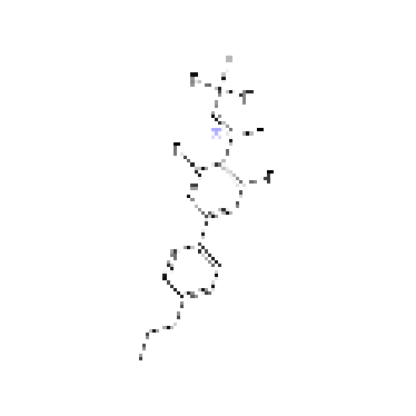 CCCc1ccc(-c2cc(F)c(/C(F)=C/C(F)(F)F)c(F)c2)cc1